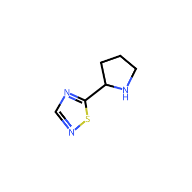 c1nsc(C2CCCN2)n1